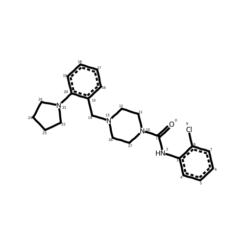 O=C(Nc1ccccc1Cl)N1CCN(Cc2ccccc2N2CCCC2)CC1